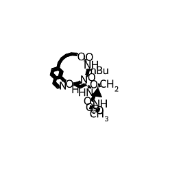 C=C[C@@H]1C[C@]1(NC(=O)[C@@H]1C[C@@H]2CN1C(=O)[C@H](CCCC)NC(=O)OCCCCCc1ccc3ccnc(c3c1)O2)C(=O)NS(C)(=O)=O